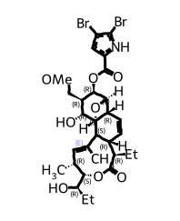 CC[C@@H](O)[C@H]1OC(=O)[C@H](CC)[C@H]2C=C[C@H]3[C@H]4O[C@]2(/C(C)=C/[C@H]1C)[C@@H]3[C@H](O)[C@@H](COC)[C@H]4OC(=O)c1cc(Br)c(Br)[nH]1